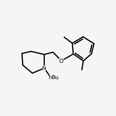 CCCCN1CCCCC1COc1c(C)cccc1C